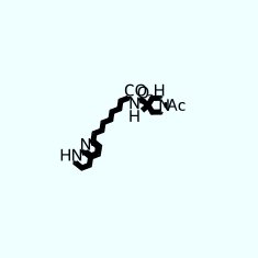 CC(=O)N1CCC(C)(C(=O)NC(CCCCCCCc2ccc3c(n2)NCCC3)C(=O)O)CC1